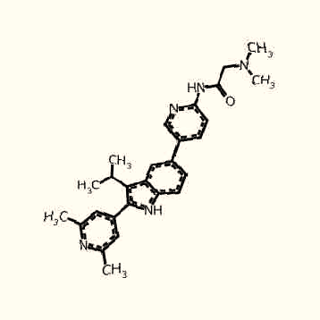 Cc1cc(-c2[nH]c3ccc(-c4ccc(NC(=O)CN(C)C)nc4)cc3c2C(C)C)cc(C)n1